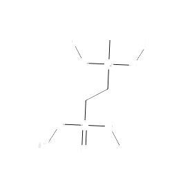 CCO[Si](C)(CCP(=O)(OC(C)C)OC(C)C)OCC